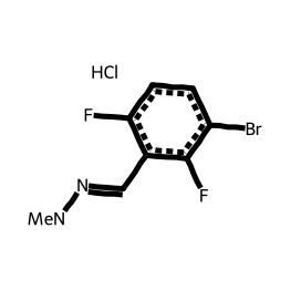 CN/N=C/c1c(F)ccc(Br)c1F.Cl